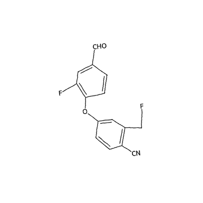 N#Cc1ccc(Oc2ccc(C=O)cc2F)cc1CF